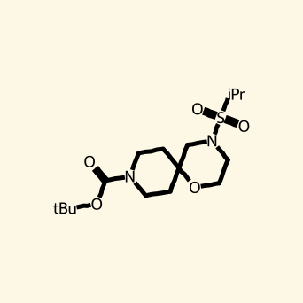 CC(C)S(=O)(=O)N1CCOC2(CCN(C(=O)OC(C)(C)C)CC2)C1